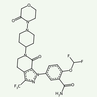 NC(=O)c1cc(-n2nc(C(F)(F)F)c3c2C(=O)N(C2CCN(N4CCOCC4=O)CC2)CC3)ccc1OC(F)F